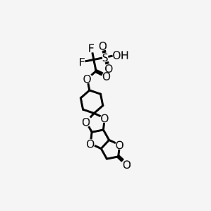 O=C1CC2OC3OC4(CCC(OC(=O)C(F)(F)S(=O)(=O)O)CC4)OC3C2O1